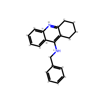 [c]1cccc(CNc2c3c(nc4ccccc24)CCCC3)c1